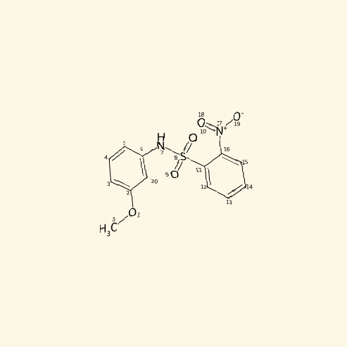 COc1cccc(NS(=O)(=O)c2ccccc2[N+](=O)[O-])c1